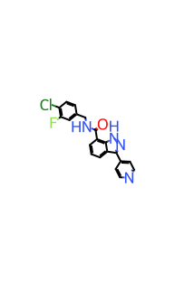 O=C(NCc1ccc(Cl)c(F)c1)c1cccc2c(-c3ccncc3)n[nH]c12